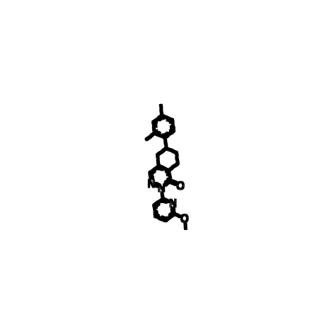 COc1cccc(-n2ncc3c(c2=O)CCC(c2ccc(C)cc2C)C3)n1